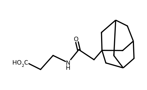 O=C(O)CCNC(=O)CC12CC3CC(CC(C3)C1)C2